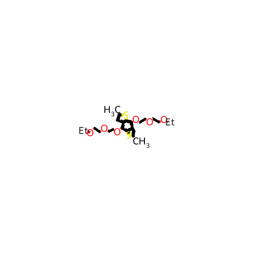 CCOCCOCCOc1c2cc(C)sc2c(OCCOCCOCC)c2cc(C)sc12